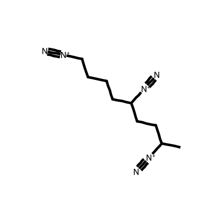 CC(CCC(CCCC[N+]#N)[N+]#N)[N+]#N